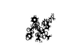 CC(C)C(=O)O[C@H]1[C@H](C2CC=C3C(/N=C/N(C)C)=NC=NN32)O[C@](C)(CO[P@@](=O)(N[C@@H](C)C(=O)OC2CCOCC2)Oc2ccccc2)[C@H]1OC(=O)C(C)C